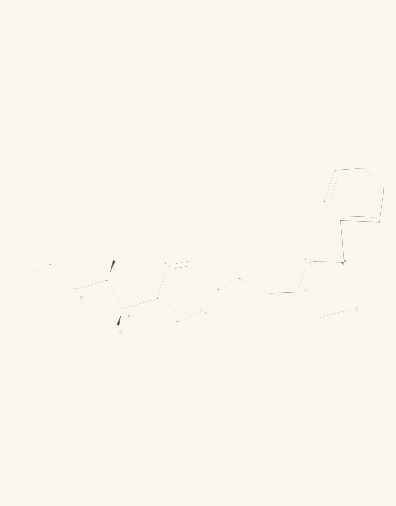 O=C(N[C@H](CO)[C@H](O)Cc1cnc([C@@H](O)[C@H](O)[C@H](O)CO)cn1)c1ccccc1